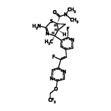 CN(C)C(=O)[C@]12C[C@H]1[C@@](C)(c1cc(C=C(F)c3cnc(OCC(F)(F)F)cn3)cnc1F)N=C(N)S2